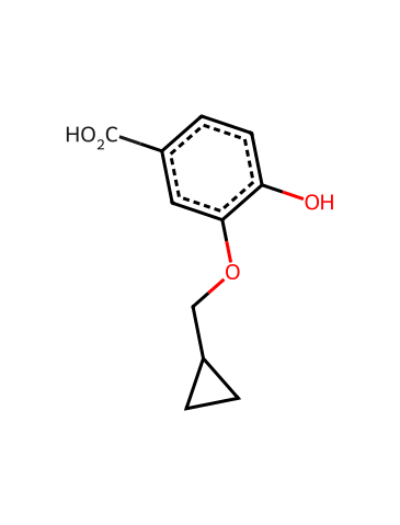 O=C(O)c1ccc(O)c(OCC2CC2)c1